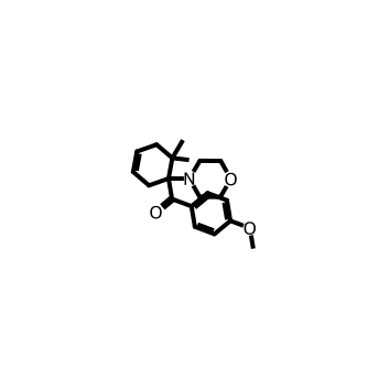 COc1ccc(C(=O)C2(N3CCOCC3)CC=CCC2(C)C)cc1